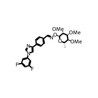 CO[C@@H]1[C@@H](OC)[C@H](C)O[C@@H](O/N=C/c2ccc(-c3cn(-c4cc(F)cc(F)c4)cn3)cc2)[C@@H]1OC